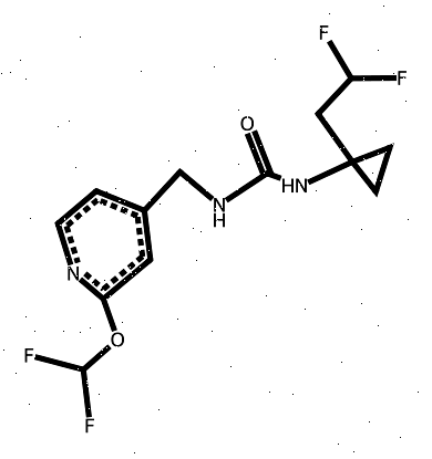 O=C(NCc1ccnc(OC(F)F)c1)NC1(CC(F)F)CC1